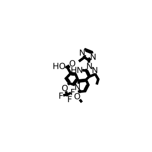 CCc1nn(-c2nccnc2C)c(Nc2ccc(OC(F)(F)F)cc2C(=O)O)c1-c1ccc(OC)nc1